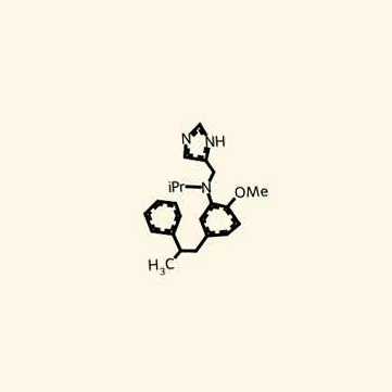 COc1ccc(CC(C)c2ccccc2)cc1N(Cc1cnc[nH]1)C(C)C